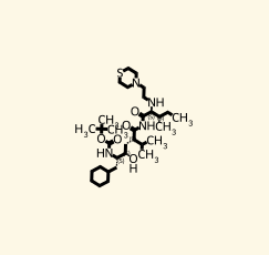 CC[C@H](C)[C@H](NCCN1CCSCC1)C(=O)NC(=O)[C@@H](C[C@H](O)[C@H](CC1CCCCC1)NC(=O)OC(C)(C)C)C(C)C